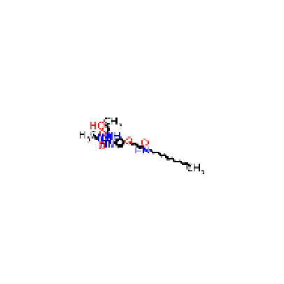 CCCCCCCCCCCCNC(=O)CCCOc1ccc(NC(NC(=O)CC(C)O)C(=O)NCC)cc1